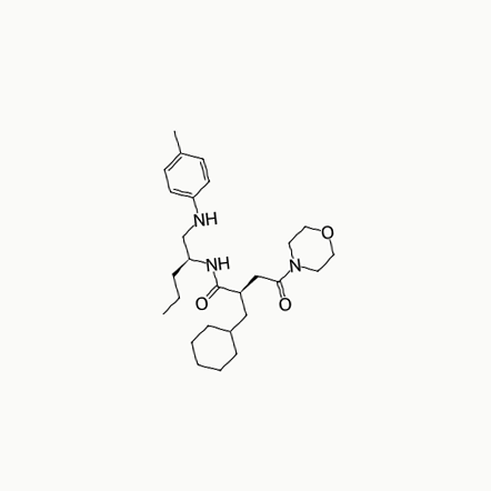 CCC[C@@H](CNc1ccc(C)cc1)NC(=O)[C@@H](CC(=O)N1CCOCC1)CC1CCCCC1